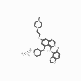 CN1CCN(CCOc2cc(OC3CCOCC3)c3c(Nc4c(Cl)ccc5c4OCO5)ncnc3c2)CC1.O.O.O